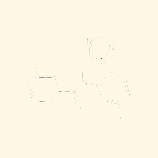 O=C(Nc1cc(Cl)ccc1-n1cncn1)c1cccc(Cl)c1